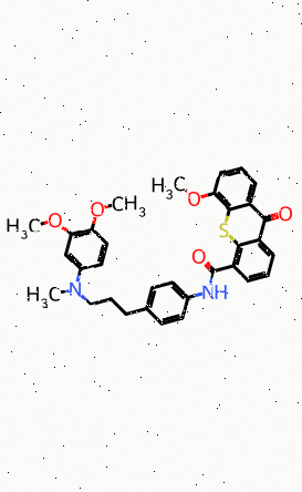 COc1ccc(N(C)CCCc2ccc(NC(=O)c3cccc4c(=O)c5cccc(OC)c5sc34)cc2)cc1OC